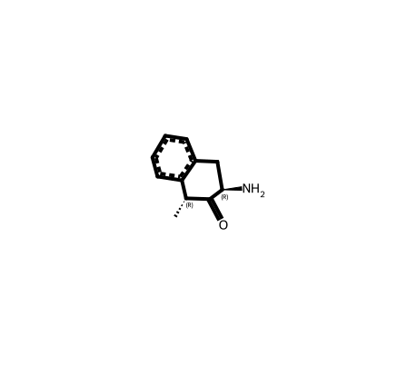 C[C@H]1C(=O)[C@H](N)Cc2ccccc21